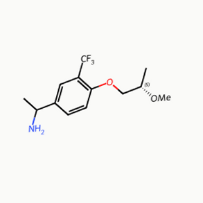 CO[C@@H](C)COc1ccc(C(C)N)cc1C(F)(F)F